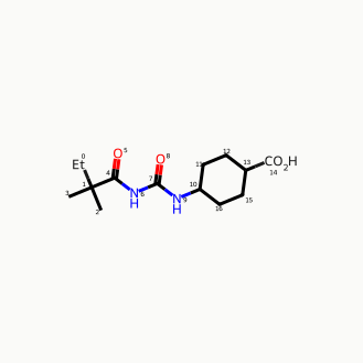 CCC(C)(C)C(=O)NC(=O)NC1CCC(C(=O)O)CC1